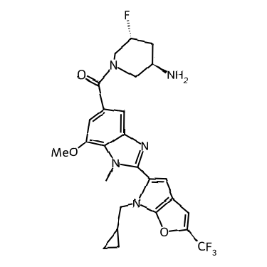 COc1cc(C(=O)N2C[C@H](N)C[C@@H](F)C2)cc2nc(-c3cc4cc(C(F)(F)F)oc4n3CC3CC3)n(C)c12